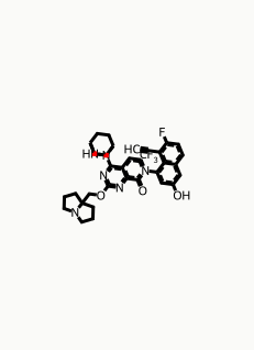 C#Cc1c(F)ccc2cc(O)cc(-n3c(C(F)(F)F)cc4c(N5CC6CCC5CN6)nc(OCC56CCCN5CCC6)nc4c3=O)c12